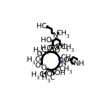 C#CCCN(C)[C@H]1C[C@@H](C)O[C@@H](O[C@@H]2[C@@H](C)C(=O)[C@@H](C)C(=O)O[C@H](CC)[C@](O)(CC)[C@H](O)[C@@H](C)/C(=N/O[C@@H]3CCNC3)[C@H](C)C[C@@]2(CC)OC)[C@@H]1O